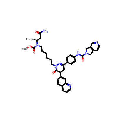 CC(C)(C)OC(=O)N(CCCCCCN1N=C(c2ccc(NC(=O)N3Cc4ccncc4C3)cc2)CC(c2ccc3cccnc3c2)C1=O)[C@H](CC(N)=O)C(=O)O